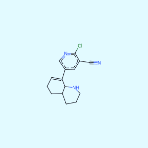 N#Cc1cc(C2=CCCC3CCCNC23)cnc1Cl